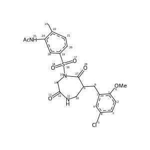 COc1ccc(Cl)cc1CC1CNC(=O)CN(S(=O)(=O)c2ccc(C)c(NC(C)=O)c2)C1=O